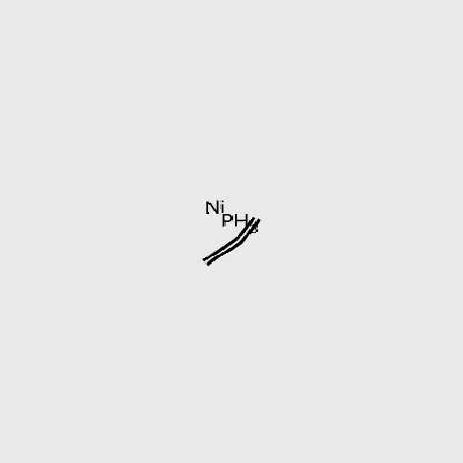 C=C=C.P.[Ni]